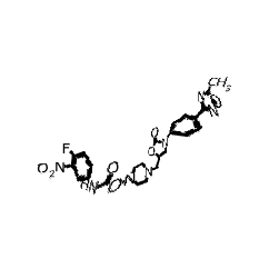 Cc1nc(-c2ccc(N3CC(CN4CCN(OC(=O)Nc5ccc(F)c([N+](=O)[O-])c5)CC4)OC3=O)cc2)no1